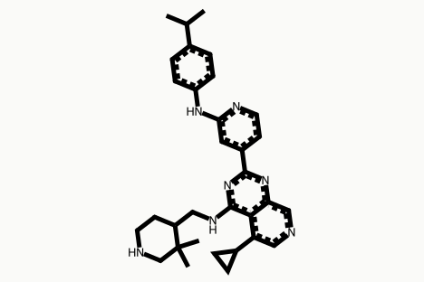 CC(C)c1ccc(Nc2cc(-c3nc(NCC4CCNCC4(C)C)c4c(C5CC5)cncc4n3)ccn2)cc1